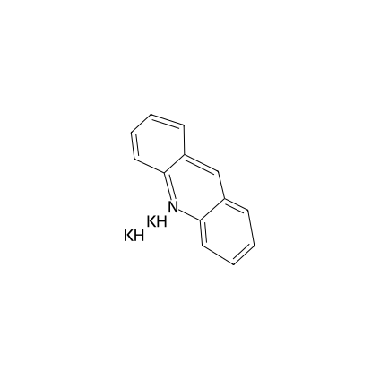 [KH].[KH].c1ccc2nc3ccccc3cc2c1